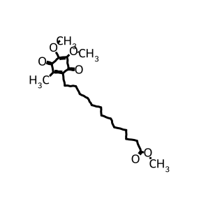 COC(=O)CCCCCCCCCCCCC1=C(C)C(=O)C(OC)=C(OC)C1=O